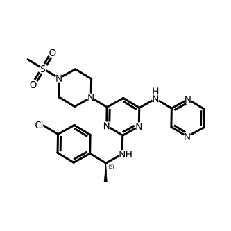 C[C@H](Nc1nc(Nc2cnccn2)cc(N2CCN(S(C)(=O)=O)CC2)n1)c1ccc(Cl)cc1